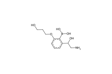 NCC(O)c1cccc(OCCCO)c1B(O)O